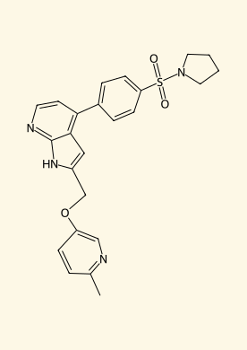 Cc1ccc(OCc2cc3c(-c4ccc(S(=O)(=O)N5CCCC5)cc4)ccnc3[nH]2)cn1